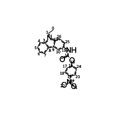 CCn1c2ccccc2c2cc(NC(=O)Oc3ccc([N+](=O)[O-])cc3)ccc21